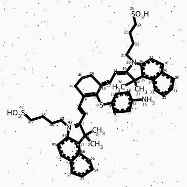 CC1(C)C(/C=C/C2=C(Sc3ccc(N)cc3)C(=C/C=C3/N(CCCCS(=O)(=O)O)c4ccc5ccccc5c4C3(C)C)/CCC2)=[N+](CCCCS(=O)(=O)O)c2ccc3ccccc3c21